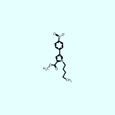 CCCCCn1cc(-c2ccc([N+](=O)[O-])cc2)cc1C(=O)OC